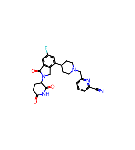 N#Cc1cccc(CN2CCC(c3cc(F)cc4c3CN(C3CCC(=O)NC3=O)C4=O)CC2)n1